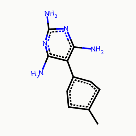 Cc1ccc(-c2c(N)nc(N)nc2N)cc1